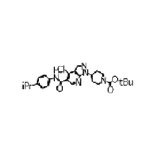 CC(C)c1ccc(NC(=O)c2cnc3c(cnn3C3CCN(C(=O)OC(C)(C)C)CC3)c2Cl)cc1